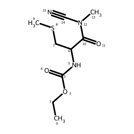 CCOC(=O)NC(CSC)C(=O)N(C)C#N